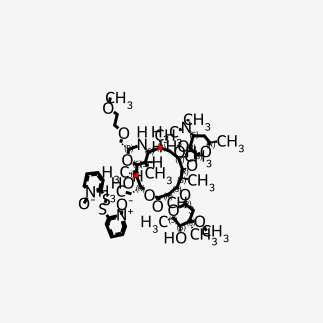 CC[C@H]1OC(=O)[C@H](C)[C@@H](O[C@H]2C[C@@](C)(OC)[C@@H](O)[C@H](C)O2)[C@H](C)[C@@H](O[C@@H]2O[C@H](C)C[C@H](N(C)C)[C@H]2O)[C@](C)(O)C[C@@H](C)[C@@H]2N[C@@H](COCCOC)O[C@@H]([C@H]2C)[C@]1(C)O.[O-][n+]1ccccc1SSc1cccc[n+]1[O-]